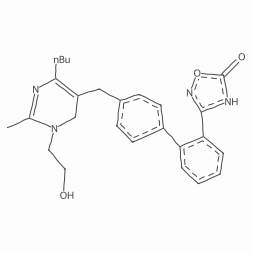 CCCCC1=C(Cc2ccc(-c3ccccc3-c3noc(=O)[nH]3)cc2)CN(CCO)C(C)=N1